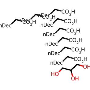 CCCCCCCCCCCC(=O)O.CCCCCCCCCCCC(=O)O.CCCCCCCCCCCC(=O)O.CCCCCCCCCCCC(=O)O.CCCCCCCCCCCC(=O)O.CCCCCCCCCCCC(=O)O.CCCCCCCCCCCC(=O)O.CCCCCCCCCCCC(=O)O.OCC(O)CO